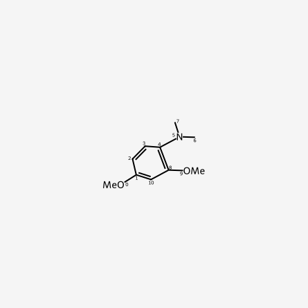 COc1ccc(N(C)C)c(OC)c1